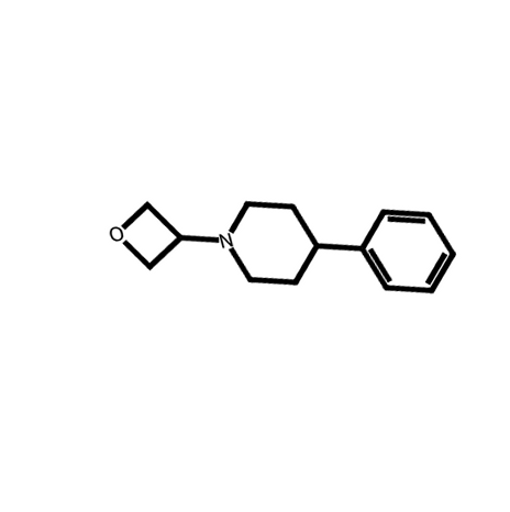 c1ccc(C2CCN(C3COC3)CC2)cc1